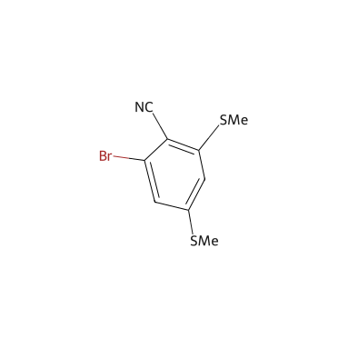 CSc1cc(Br)c(C#N)c(SC)c1